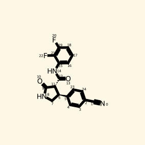 N#Cc1ccc([C@H]2CNC(=O)[C@@H]2C(=O)Nc2cccc(F)c2F)cc1